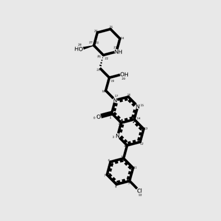 O=c1c2nc(-c3cccc(Cl)c3)ccc2ncn1CC(O)C[C@H]1NCCC[C@@H]1O